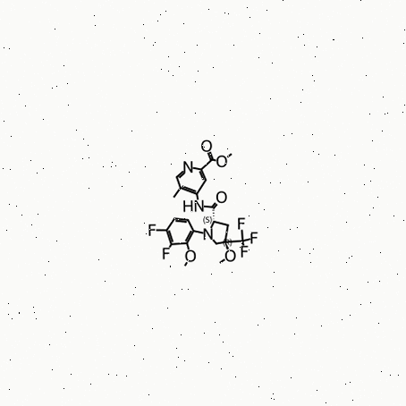 COC(=O)c1cc(NC(=O)[C@@H]2C[C@](OC)(C(F)(F)F)CN2c2ccc(F)c(F)c2OC)c(C)cn1